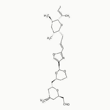 C=C1C[C@H](C[C@@H]2CCO[C@H](c3coc(/C=C/C[C@H]4O[C@@H](/C(C)=C/I)[C@H](C)C[C@H]4C)n3)O2)O[C@@H](CC=O)C1